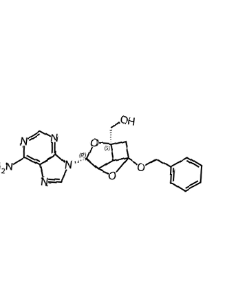 Nc1ncnc2c1ncn2[C@@H]1O[C@@]2(CO)CC3(OCc4ccccc4)OC1C32